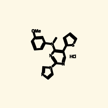 COc1cccc(N(C)c2nc(-n3ccnc3)ncc2-c2cccs2)c1.Cl